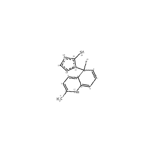 CC1=CC=C2C(=CC=CC2(F)n2ccnc2S)N1